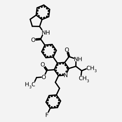 CCOC(=O)c1c(CCc2ccc(F)cc2)nc2c(c1-c1ccc(C(=O)NC3CCc4ccccc43)cc1)C(=O)NC2C(C)C